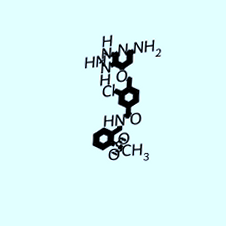 CS(=O)(=O)c1ccccc1CNC(=O)c1ccc(COc2cc(N)nc3c2NNN3)c(Cl)c1